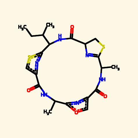 CCC(C)C1NC(=O)C2CSC(=N2)C(C)NC(=O)c2coc(n2)C(C)NC(=O)c2csc1n2